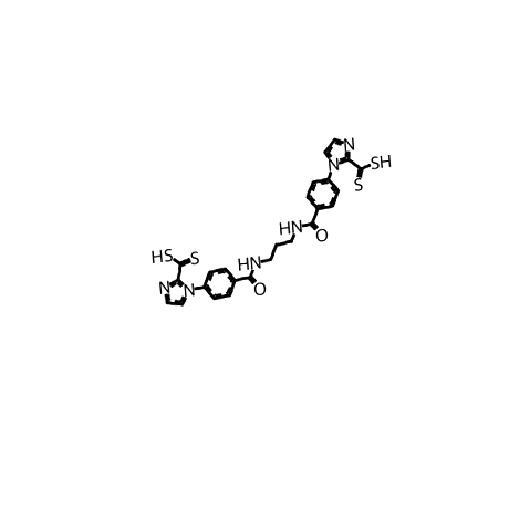 O=C(NCCCNC(=O)c1ccc(-n2ccnc2C(=S)S)cc1)c1ccc(-n2ccnc2C(=S)S)cc1